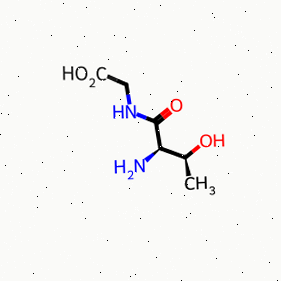 C[C@H](O)[C@@H](N)C(=O)NCC(=O)O